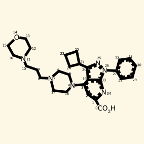 O=C(O)c1cc(N2CCN(CCCN3CCOCC3)CC2)c2c(C3CCC3)nn(-c3ccccc3)c2n1